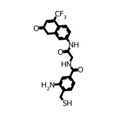 Nc1cc(C(=O)NCC(=O)Nc2ccc3c(c2)CC(=O)C=C3C(F)(F)F)ccc1CS